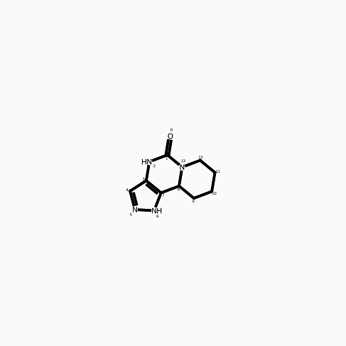 O=C1Nc2[c]n[nH]c2C2CCCCN12